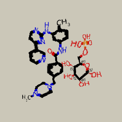 Cc1ccc(NC(=O)c2ccc(CN3CCN(C)CC3)cc2)cc1Nc1nccc(-c2cccnc2)n1.O=P(O)(O)OC[C@H]1O[C@H](O)[C@H](O)[C@@H](O)[C@@H]1O